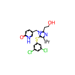 CC(C)c1nc(CCO)n(Cc2ccc(=O)[nH]c2)c1Sc1cc(Cl)cc(Cl)c1